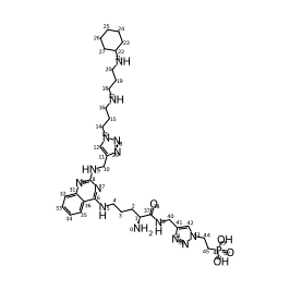 N[C@@H](CCCNc1nc(NCc2cn(CCCNCCCNC3CCCCC3)nn2)nc2ccccc12)C(=O)NCc1cn(CCP(=O)(O)O)nn1